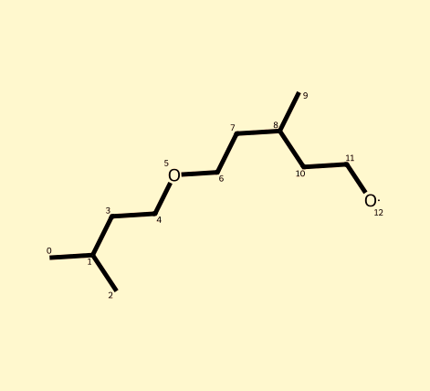 CC(C)CCOCCC(C)CC[O]